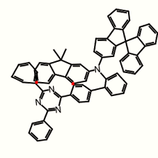 CC1(C)c2ccccc2-c2ccc(N(c3ccc4c(c3)C3(c5ccccc5-c5ccccc53)c3ccccc3-4)c3ccccc3-c3ccc(-c4nc(-c5ccccc5)nc(-c5ccccc5)n4)cc3)cc21